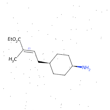 CCOC(=O)/C(C)=C/C[C@H]1CC[C@@H](N)CC1